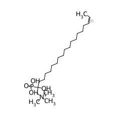 C/C=C\CCCCCCCCCCCCCCCC(O)(C[N+](C)(C)C)P(=O)(O)O